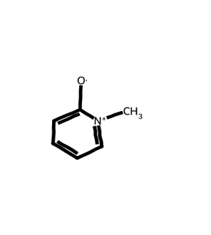 C[n+]1ccccc1[O]